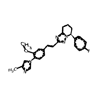 COc1cc(/C=C/c2nc3n(n2)[C@H](c2ccc(F)cc2)CCC3)ccc1-n1cnc(C)c1